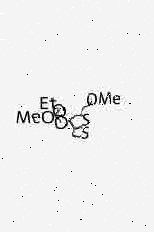 CCOC(OC)OC1CC(CCOC)Sc2sccc21